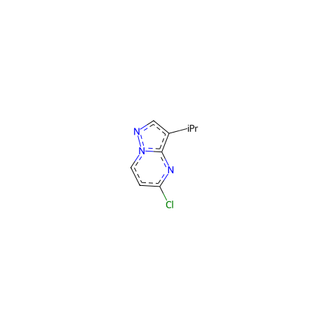 CC(C)c1cnn2ccc(Cl)nc12